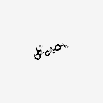 CC(C)Oc1ccc(S(=O)(=O)N2CC[C@@H](n3cc(CC=O)c4ncccc43)C2)cc1